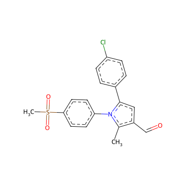 Cc1c(C=O)cc(-c2ccc(Cl)cc2)n1-c1ccc(S(C)(=O)=O)cc1